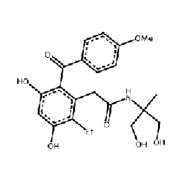 CCc1c(O)cc(O)c(C(=O)c2ccc(OC)cc2)c1CC(=O)NC(C)(CO)CO